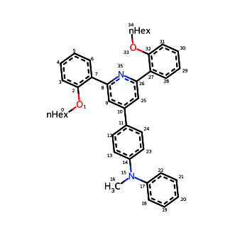 CCCCCCOc1ccccc1-c1cc(-c2ccc(N(C)c3ccccc3)cc2)cc(-c2ccccc2OCCCCCC)n1